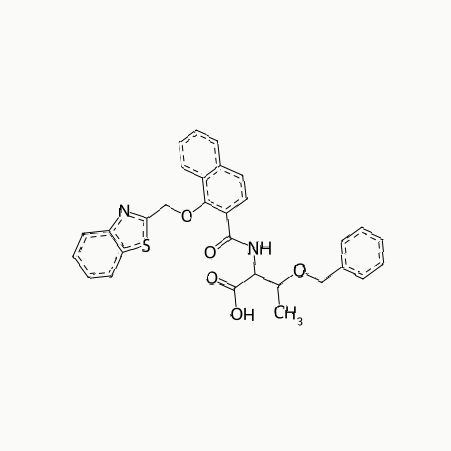 CC(OCc1ccccc1)C(NC(=O)c1ccc2ccccc2c1OCc1nc2ccccc2s1)C(=O)O